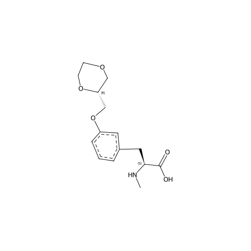 CN[C@@H](Cc1cccc(OC[C@H]2COCCO2)c1)C(=O)O